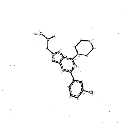 CN(Cc1cc2nc(-c3cccc(O)c3)nc(N3CCOCC3)c2s1)C(=O)O